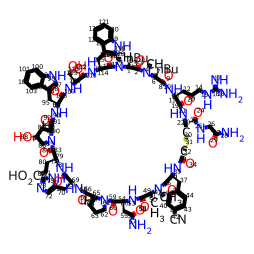 CCCC[C@H]1C(=O)N(C)[C@@H](CCCC)C(=O)N[C@@H](CCCNC(=N)N)C(=O)N[C@H](C(=O)NCC(N)=O)CSCC(=O)N[C@@H](Cc2ccc(C#N)cc2)C(=O)N(C)[C@@H](C)C(=O)N[C@@H](CC(N)=O)C(=O)N2CCC[C@H]2C(=O)N[C@@H](Cc2cnc[nH]2)C(=O)N[C@@H](CCC(=O)O)C(=O)N2C[C@H](O)C[C@H]2C(=O)N[C@@H](Cc2c[nH]c3ccccc23)C(=O)N[C@@H](CO)C(=O)N[C@@H](Cc2c[nH]c3ccccc23)C(=O)N1C